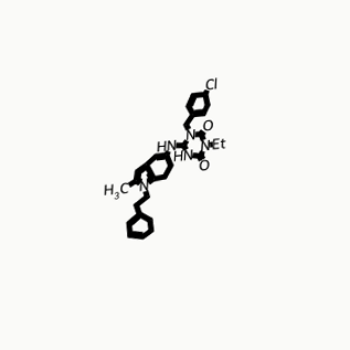 CCN1C(=O)NC(NC2=Cc3cc(C)n(CCC4=CC=CCC4)c3CC2)N(CC2=CCC(Cl)C=C2)C1=O